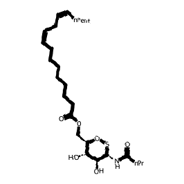 CCCCC/C=C\C/C=C\CCCCCCCC(=O)OC[C@H]1OS[C@H](NC(=O)CCC)[C@@H](O)[C@@H]1O